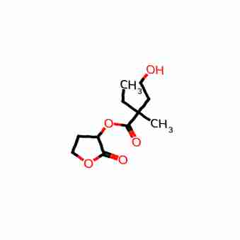 CCC(C)(CCO)C(=O)OC1CCOC1=O